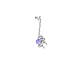 CCCCCCCCCCCCCCCCCCn1ccnc1C(CCC)C(C)(Cc1ccccc1)c1ccccc1